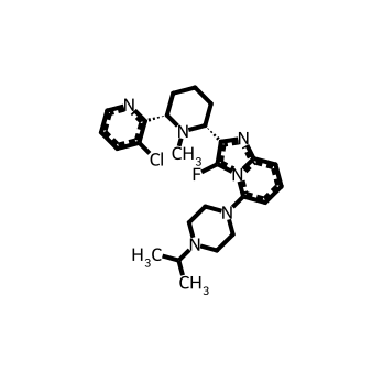 CC(C)N1CCN(c2cccc3nc([C@H]4CCC[C@@H](c5ncccc5Cl)N4C)c(F)n23)CC1